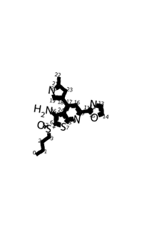 CCCC[S+]([O-])c1sc2nc(-c3ncco3)cc(C3=CN=C(C)C3)c2c1N